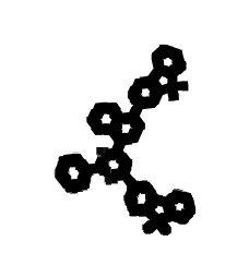 CC1(C)c2ccccc2-c2cc(-c3cc(-c4ccc(-c5ccc6c(c5)C(C)(C)c5ccccc5-6)c5ccccc45)nc(-c4ccccc4)n3)ccc21